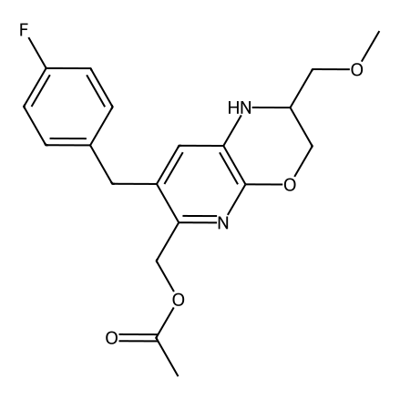 COCC1COc2nc(COC(C)=O)c(Cc3ccc(F)cc3)cc2N1